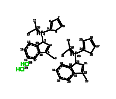 CC1=C[CH]([Hf]([C]2=CC=CC2)=[C](C)C)c2ccccc21.CC1=C[CH]([Hf]([C]2=CC=CC2)=[C](C)C)c2ccccc21.Cl.Cl